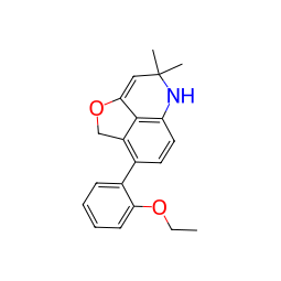 CCOc1ccccc1-c1ccc2c3c1COC3=CC(C)(C)N2